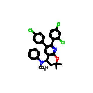 CC1(C)CC(N(C(=O)O)c2ccccc2)c2cc(-c3ccc(Cl)cc3)c(-c3ccc(Cl)cc3Cl)nc2O1